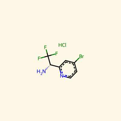 Cl.N[C@@H](c1cc(Br)ccn1)C(F)(F)F